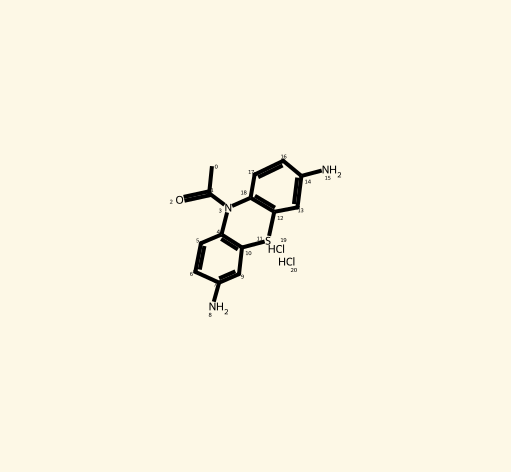 CC(=O)N1c2ccc(N)cc2Sc2cc(N)ccc21.Cl.Cl